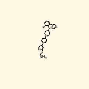 NCCn1cc(-c2ccc(N3CCC(C4c5c(F)cccc5-c5cncn54)CC3)cc2)cn1